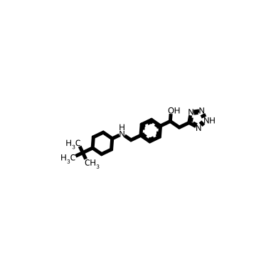 CC(C)(C)C1CCC(NCc2ccc(C(O)Cc3nn[nH]n3)cc2)CC1